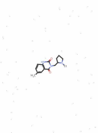 CCN1CCCC1Cn1c(=O)[nH]c2ccc(C)cc2c1=O